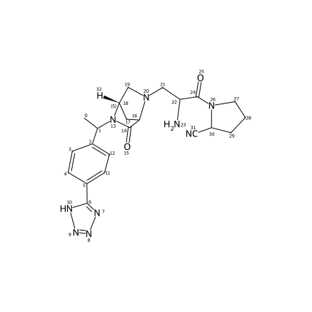 CC(c1ccc(-c2nnn[nH]2)cc1)N1C(=O)C2C[C@H]1CN2CC(N)C(=O)N1CCCC1C#N